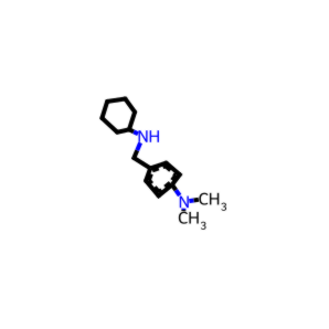 CN(C)c1ccc(CNC2CCCCC2)cc1